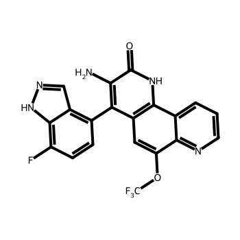 Nc1c(-c2ccc(F)c3[nH]ncc23)c2cc(OC(F)(F)F)c3ncccc3c2[nH]c1=O